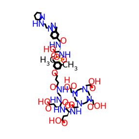 Cc1cc(OCCCC(=O)NCCNC(=O)[C@H](CCC(=O)O)NC(=O)[C@H](CCC(=O)O)NC(=O)CN2CCN(CC(=O)O)CCN(CC(=O)O)CCN(CC(=O)O)CC2)cc(C)c1S(=O)(=O)N[C@@H](CNC(=O)c1ccc2c(cnn2CCNC2=NCCCC2)c1)C(=O)O